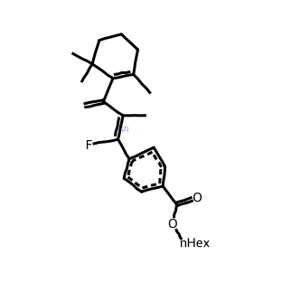 C=C(C1=C(C)CCCC1(C)C)/C(C)=C(\F)c1ccc(C(=O)OCCCCCC)cc1